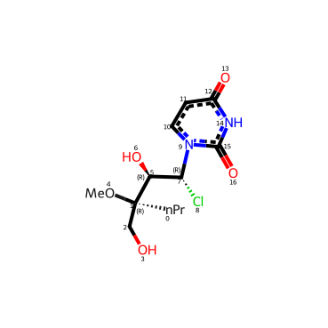 CCC[C@](CO)(OC)[C@@H](O)[C@@H](Cl)n1ccc(=O)[nH]c1=O